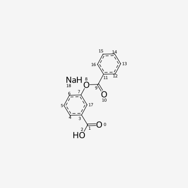 O=C(O)c1cccc(OC(=O)c2ccccc2)c1.[NaH]